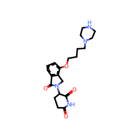 O=C1CCC(N2Cc3c(OCCCCN4CCNCC4)cccc3C2=O)C(=O)N1